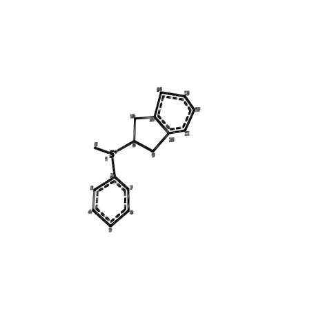 C[S+](c1ccccc1)C1Cc2ccccc2C1